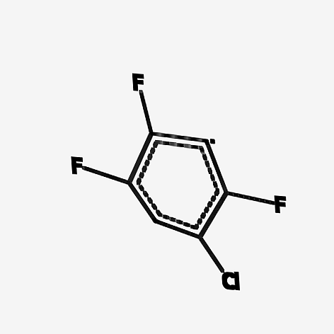 Fc1[c]c(F)c(Cl)cc1F